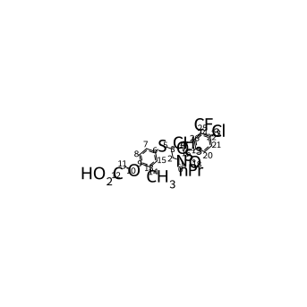 CCCN(CC(C)Sc1ccc(OCC(=O)O)c(C)c1)S(=O)(=O)c1ccc(Cl)c(C(F)(F)F)c1